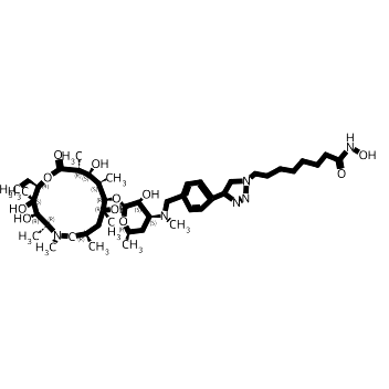 CC[C@H]1OC(=O)[C@H](C)[C@@H](O)[C@H](C)[C@@H](O[C@@H]2O[C@H](C)C[C@H](N(C)Cc3ccc(C4CN(CCCCCCCC(=O)NO)N=N4)cc3)[C@@H]2O)[C@](C)(O)C[C@@H](C)CN(C)[C@H](C)[C@@H](O)[C@]1(C)O